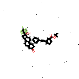 CC(C)(C)OC(=O)c1cccc(C#Cc2ccc([C@H]3C[C@@]4(C)C(CC[C@@]4(O)C(F)(F)C(F)(F)F)C4CCC5=CC(=O)CCC5=C43)cc2)c1